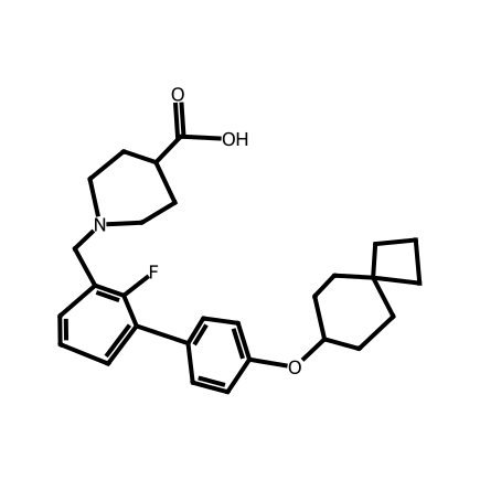 O=C(O)C1CCN(Cc2cccc(-c3ccc(OC4CCC5(CCC5)CC4)cc3)c2F)CC1